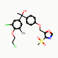 CC(O)(c1ccc(OCc2ocnc2S(C)(=O)=O)cc1)c1cc(Cl)c(OCCCl)c(C#N)c1